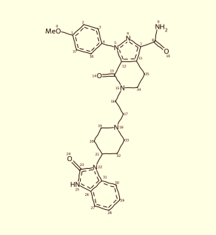 COc1ccc(-n2nc(C(N)=O)c3c2C(=O)N(CCN2CCC(n4c(=O)[nH]c5ccccc54)CC2)CC3)cc1